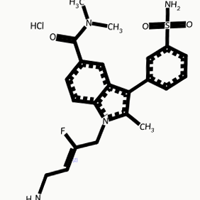 Cc1c(-c2cccc(S(N)(=O)=O)c2)c2cc(C(=O)N(C)C)ccc2n1C/C(F)=C/CN.Cl